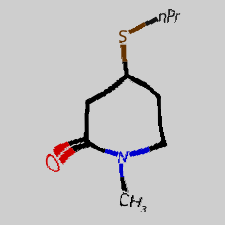 CCCSC1CCN(C)C(=O)C1